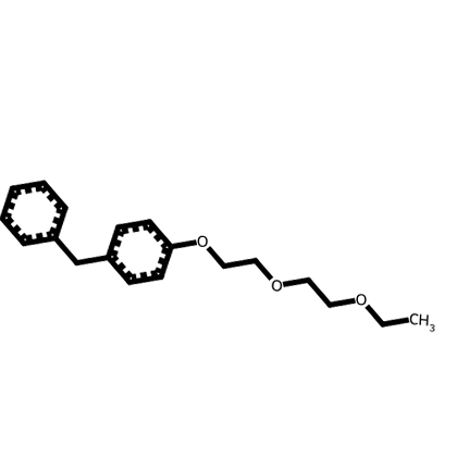 CCOCCOCCOc1ccc(Cc2ccccc2)cc1